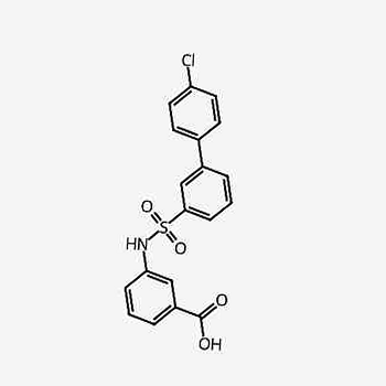 O=C(O)c1cccc(NS(=O)(=O)c2cccc(-c3ccc(Cl)cc3)c2)c1